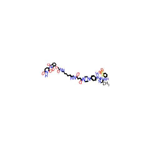 Cc1cnc(Nc2ccc(N3CCN(C(=O)CCC(=O)NCCCCCCCCNC(=O)COc4cccc5c4C(=O)N(C4CCC(=O)NC4=O)C5=O)CC3)cc2)nc1Nc1cccc([SH](=O)=O)c1